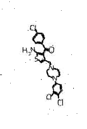 Nc1scc(CN2CCN(c3ccc(Cl)c(Cl)c3)CC2)c1C(=O)c1ccc(Cl)cc1